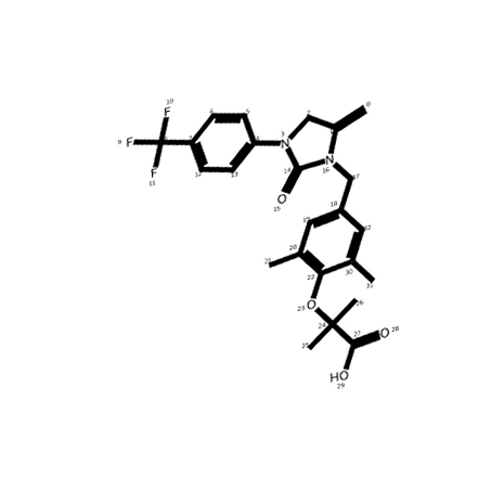 C=C1CN(c2ccc(C(F)(F)F)cc2)C(=O)N1Cc1cc(C)c(OC(C)(C)C(=O)O)c(C)c1